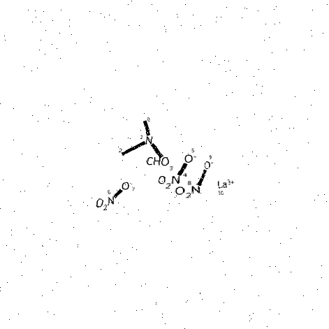 CN(C)C=O.O=[N+]([O-])[O-].O=[N+]([O-])[O-].O=[N+]([O-])[O-].[La+3]